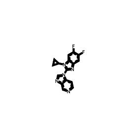 Fc1cc2nc(-n3cnc4cnccc43)n(C3CC3)c2cc1F